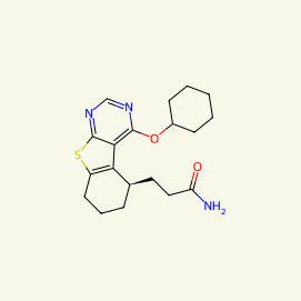 NC(=O)CC[C@H]1CCCc2sc3ncnc(OC4CCCCC4)c3c21